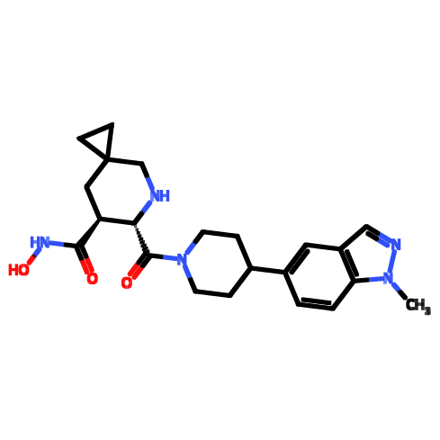 Cn1ncc2cc(C3CCN(C(=O)[C@H]4NCC5(CC5)C[C@@H]4C(=O)NO)CC3)ccc21